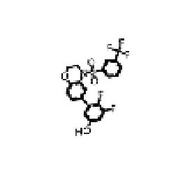 O=S(=O)(c1cccc(C(F)(F)F)c1)N1CCOc2ccc(-c3cc(O)cc(F)c3F)cc21